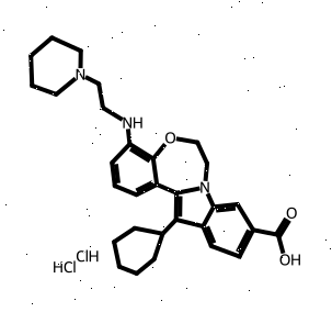 Cl.Cl.O=C(O)c1ccc2c(C3CCCCC3)c3n(c2c1)CCOc1c(NCCN2CCCCC2)cccc1-3